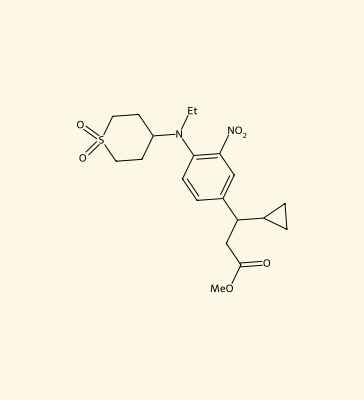 CCN(c1ccc(C(CC(=O)OC)C2CC2)cc1[N+](=O)[O-])C1CCS(=O)(=O)CC1